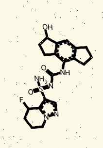 NS(=O)(=NC(=O)Nc1c2c(cc3c1CCC3O)CCC2)c1cnn2c1C(F)CCC2